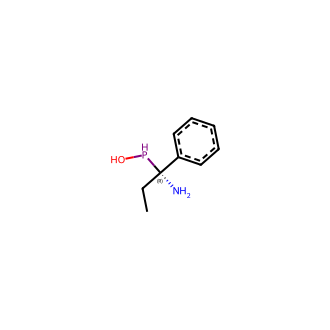 CC[C@@](N)(PO)c1ccccc1